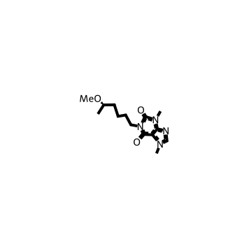 CO[C@H](C)CCCCn1c(=O)c2c(ncn2C)n(C)c1=O